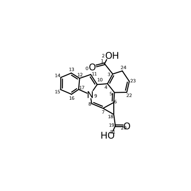 O=C(O)C1=C2C(=C3C(=Cn4c2cc2ccccc24)C3C(=O)O)C=CC1